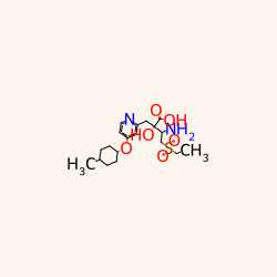 CCS(=O)(=O)C[C@H](N)[C@](O)(Cc1cc(O[C@H]2CC[C@H](C)CC2)ccn1)C(=O)O